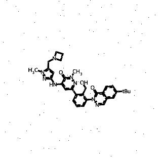 Cn1nc(Nc2cc(-c3cccc(-n4ncc5cc(C(C)(C)C)ccc5c4=O)c3CO)nn(C)c2=O)cc1CN1CCC1